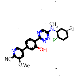 CC[C@@H]1CC[C@H](F)[C@H](N(C)c2cnc(-c3ccc(-c4cnc(C#N)c(OC)c4)cc3O)nn2)C1